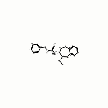 CSC1=Nc2ccccc2CC[C@H]1NC(=O)OCc1ccccc1